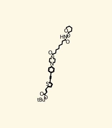 CC(C)(C)OC(=O)/C=C/c1ccc(C#Cc2ccc(N3CCN(C(=O)CCCCCCC(=O)NOC4CCCCO4)CC3)cc2)s1